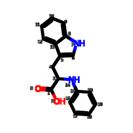 O=C(O)C(Cc1c[nH]c2ccccc12)Nc1ccccc1